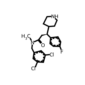 CN(Cc1cc(Cl)cc(Cl)c1)C(=O)C[C@H](c1ccc(F)cc1)C1CCNCC1